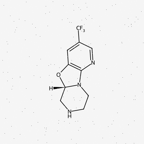 FC(F)(F)c1cnc2c(c1)O[C@H]1CNCCN21